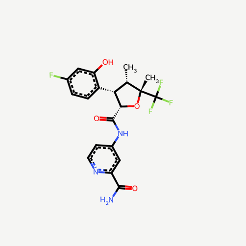 C[C@H]1[C@@H](c2ccc(F)cc2O)[C@@H](C(=O)Nc2ccnc(C(N)=O)c2)O[C@@]1(C)C(F)(F)F